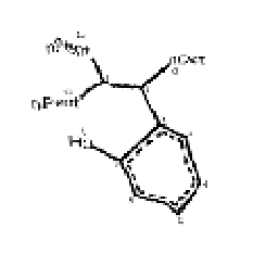 CCCCCCCCC(c1ccccc1O)C(CCCCC)CCCCC